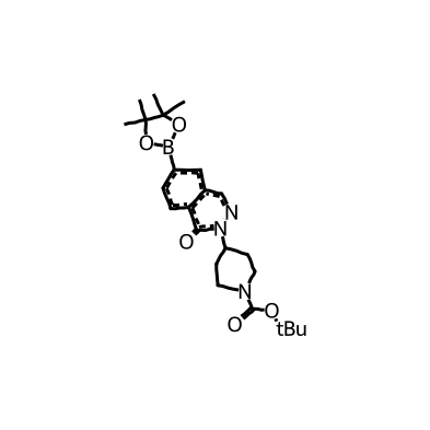 CC(C)(C)OC(=O)N1CCC(n2ncc3cc(B4OC(C)(C)C(C)(C)O4)ccc3c2=O)CC1